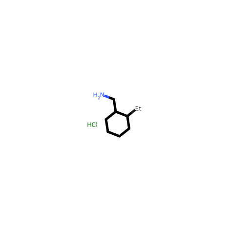 CCC1CCCCC1CN.Cl